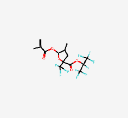 C=C(C)C(=O)OC1OC(C(=O)OC(F)(C(F)(F)F)C(F)(F)F)(C(F)(F)F)CC1C